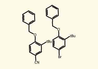 CC(C)(C)c1cc(Br)ccc1OCc1ccccc1.CC(C)(C)c1cc(C#N)ccc1OCc1ccccc1